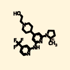 C[C@@H]1CCCN1c1cc(C2CCN(CCO)CC2)cc(Nc2cc(C(F)(F)F)ccn2)n1